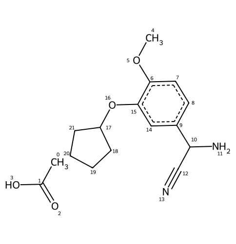 CC(=O)O.COc1ccc(C(N)C#N)cc1OC1CCCC1